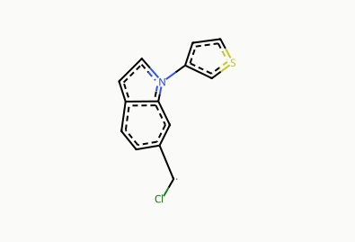 Cl[CH]c1ccc2ccn(-c3ccsc3)c2c1